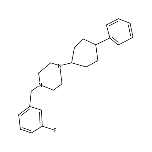 Fc1cccc(CN2CCN(C3CCC(c4ccccc4)CC3)CC2)c1